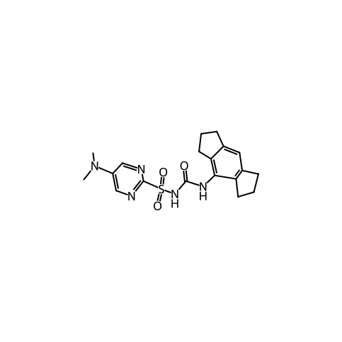 CN(C)c1cnc(S(=O)(=O)NC(=O)Nc2c3c(cc4c2CCC4)CCC3)nc1